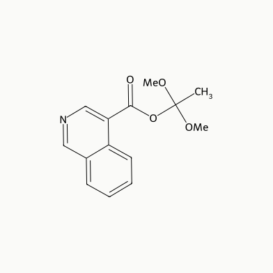 COC(C)(OC)OC(=O)c1cncc2ccccc12